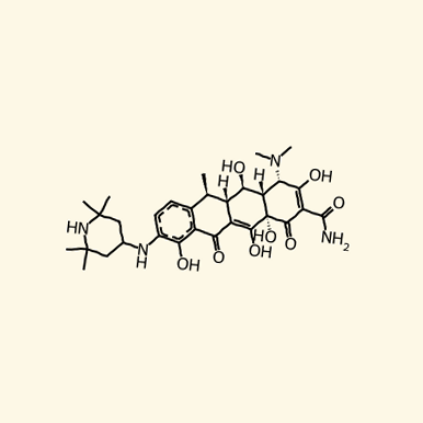 C[C@@H]1c2ccc(NC3CC(C)(C)NC(C)(C)C3)c(O)c2C(=O)C2=C(O)[C@]3(O)C(=O)C(C(N)=O)=C(O)[C@@H](N(C)C)[C@H]3[C@H](O)[C@H]21